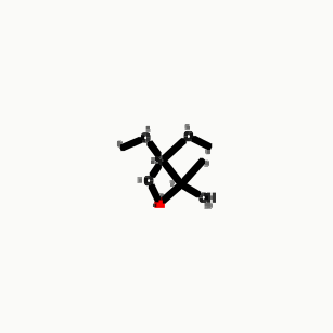 CO[Si](OC)(OC)C(C)(C)O